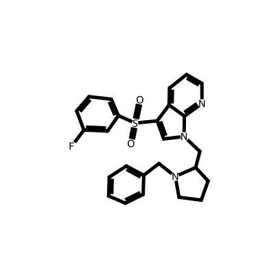 O=S(=O)(c1cccc(F)c1)c1cn(CC2CCCN2Cc2ccccc2)c2ncccc12